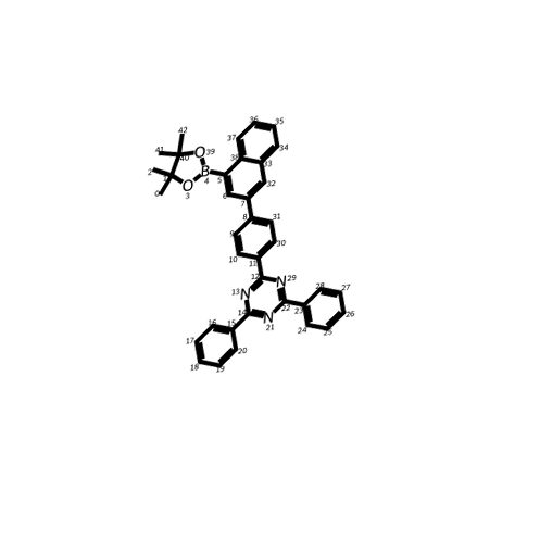 CC1(C)OB(c2cc(-c3ccc(-c4nc(-c5ccccc5)nc(-c5ccccc5)n4)cc3)cc3ccccc23)OC1(C)C